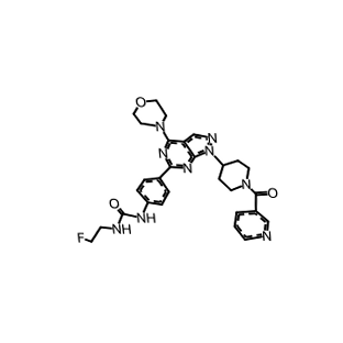 O=C(NCCF)Nc1ccc(-c2nc(N3CCOCC3)c3cnn(C4CCN(C(=O)c5cccnc5)CC4)c3n2)cc1